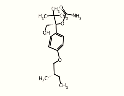 CC[C@H](C)COc1ccc([C@](CO)(OC(N)=O)C(C)(C)C)cc1